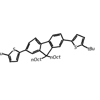 CCCCCCCCC1(CCCCCCCC)c2cc(-c3ccc(C(C)(C)C)s3)ccc2-c2ccc(-c3ccc(C(C)(C)C)s3)cc21